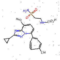 COc1ccc(-c2ccc(C#N)cc2)n2nc(C3CC3)nc12.NS(=O)(=O)CCNC(=O)O